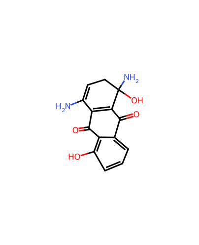 NC1=CCC(N)(O)C2=C1C(=O)c1c(O)cccc1C2=O